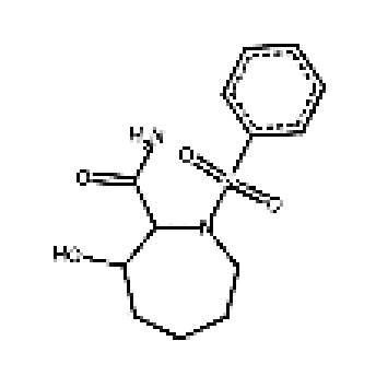 NC(=O)C1C(O)[CH]CCCN1S(=O)(=O)c1ccccc1